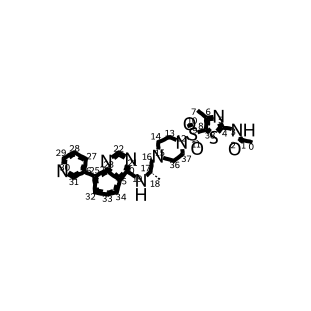 CC(=O)Nc1nc(C)c(S(=O)(=O)N2CCN(C[C@H](C)Nc3ncnc4c(-c5cccnc5)cccc34)CC2)s1